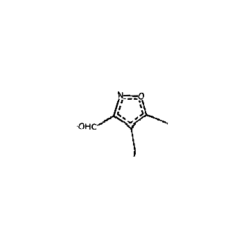 Cc1onc([C]=O)c1C